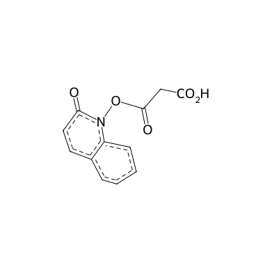 O=C(O)CC(=O)On1c(=O)ccc2ccccc21